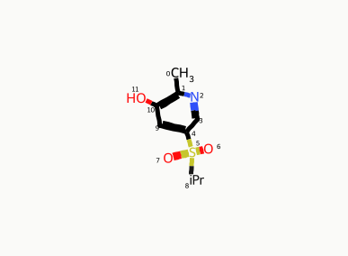 Cc1ncc(S(=O)(=O)C(C)C)cc1O